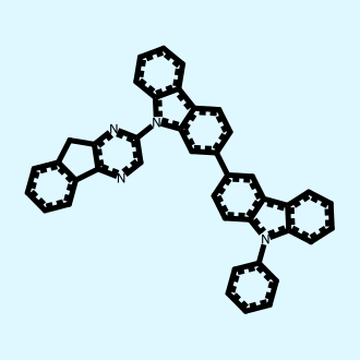 c1ccc(-n2c3ccccc3c3cc(-c4ccc5c6ccccc6n(-c6cnc7c(n6)Cc6ccccc6-7)c5c4)ccc32)cc1